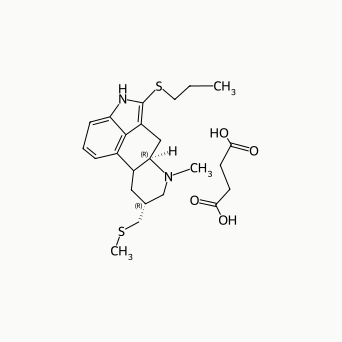 CCCSc1[nH]c2cccc3c2c1C[C@@H]1C3C[C@@H](CSC)CN1C.O=C(O)CCC(=O)O